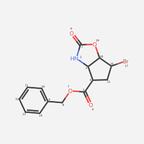 O=C1NC2C(C(=O)OCc3ccccc3)CC(Br)C2O1